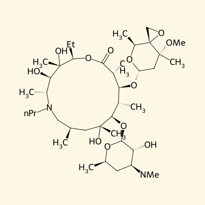 CCCN1C[C@H](C)C[C@@](C)(O)[C@H](O[C@@H]2O[C@H](C)C[C@H](NC)[C@H]2O)[C@@H](C)[C@H](O[C@H]2C[C@@](C)(OC)[C@]3(CO3)[C@H](C)O2)[C@@H](C)C(=O)O[C@H](CC)[C@@](C)(O)[C@H](O)[C@H]1C